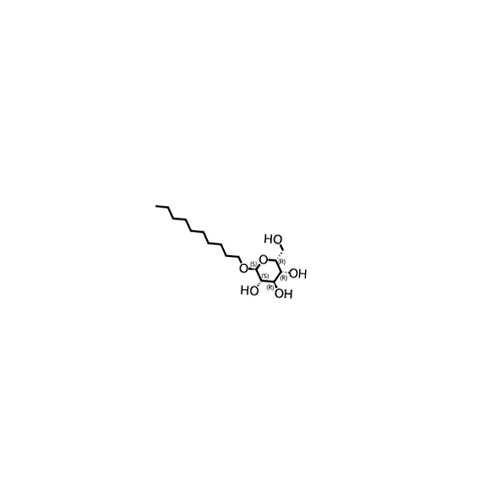 CCCCCCCCCCO[C@H]1O[C@H](CO)[C@H](O)[C@@H](O)[C@@H]1O